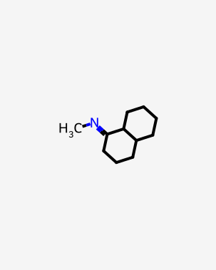 C/N=C1\CCCC2CCCCC12